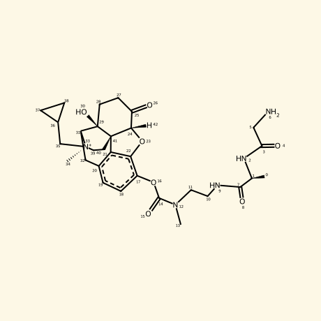 C[C@H](NC(=O)CN)C(=O)NCCN(C)C(=O)Oc1ccc2c3c1O[C@H]1C(=O)CC[C@@]4(O)C(C2)[N@+](C)(CC2CC2)CC[C@]314